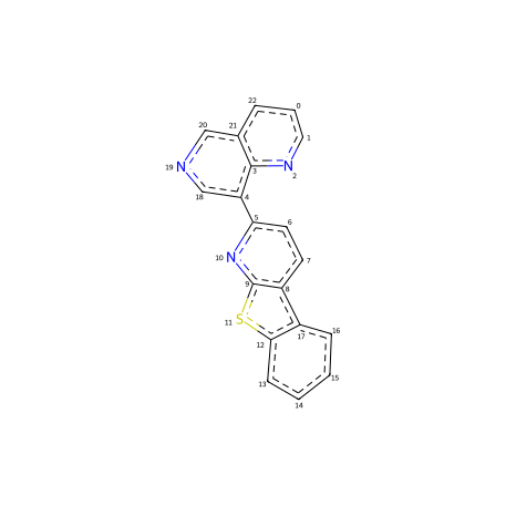 c1cnc2c(-c3ccc4c(n3)sc3ccccc34)cncc2c1